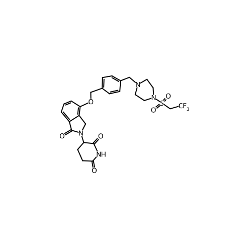 O=C1CCC(N2Cc3c(OCc4ccc(CN5CCN(S(=O)(=O)CC(F)(F)F)CC5)cc4)cccc3C2=O)C(=O)N1